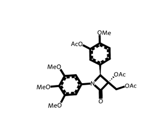 COc1ccc([C@@H]2N(c3cc(OC)c(OC)c(OC)c3)C(=O)[C@@]2(COC(C)=O)OC(C)=O)cc1OC(C)=O